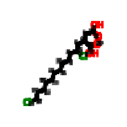 O=C(O)CC(CC(Cl)CCCCCCCCCCCl)C(=O)O